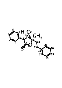 CN1C(c2ccccc2)C(=S)O[C@]1(C)CCc1ccccc1